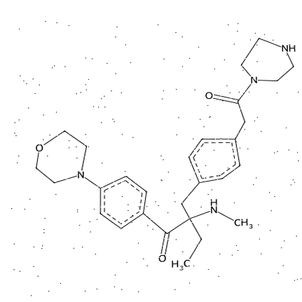 CCC(Cc1ccc(CC(=O)N2CCNCC2)cc1)(NC)C(=O)c1ccc(N2CCOCC2)cc1